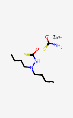 CCCCN(CCCC)NC([O-])=S.NC([O-])=S.[Zn+2]